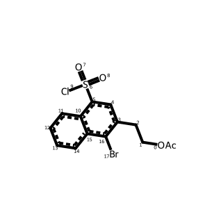 CC(=O)OCCc1cc(S(=O)(=O)Cl)c2ccccc2c1Br